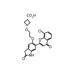 O=C1Cc2cc(OCCO[C@H]3C[C@@H](C(=O)O)C3)c(-c3cc(=O)c4cccc(Cl)c4o3)cc2N1